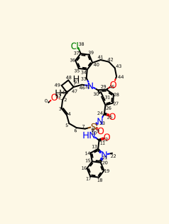 CO[C@H]1/C=C/CCCS(=O)(NC(=O)c2cc3ccccc3n2C)=NC(=O)c2ccc3c(c2)N(Cc2ccc(Cl)cc2CCCCO3)C[C@@H]2CC[C@H]21